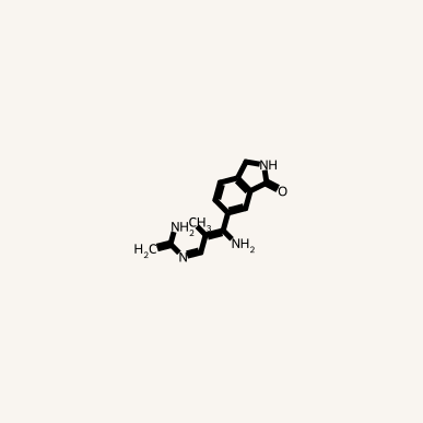 C=C(N)/N=C\C(C)=C(/N)c1ccc2c(c1)C(=O)NC2